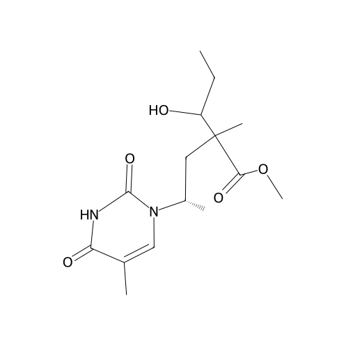 CCC(O)C(C)(C[C@H](C)n1cc(C)c(=O)[nH]c1=O)C(=O)OC